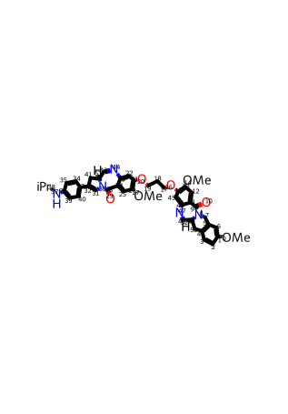 COc1ccc2c(c1)CN1C(=O)c3cc(OC)c(OCCCOc4cc5c(cc4OC)C(=O)N4C=C(c6ccc(NC(C)C)cc6)C[C@H]4C=N5)cc3N=C[C@@H]1C2